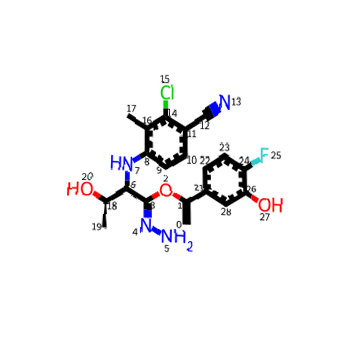 C=C(O/C(=N\N)C(Nc1ccc(C#N)c(Cl)c1C)[C@@H](C)O)c1ccc(F)c(O)c1